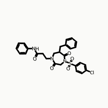 O=C(CCN1CC(Cc2ccccc2)C(=O)N(S(=O)(=O)c2ccc(Cl)cc2)CC1=O)Nc1ccccc1